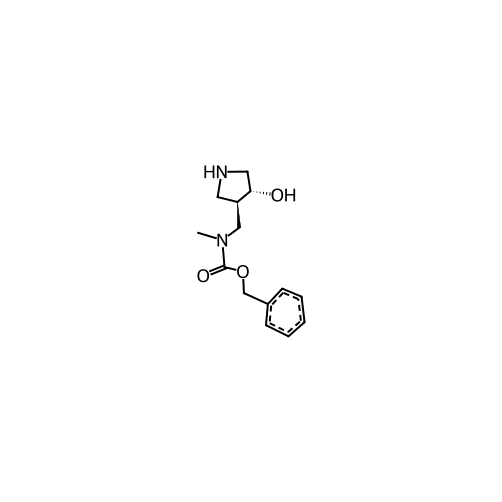 CN(C[C@H]1CNC[C@@H]1O)C(=O)OCc1ccccc1